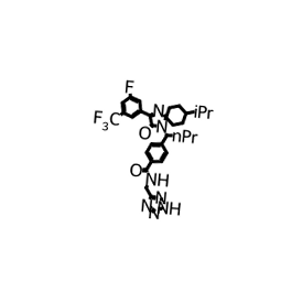 CCCC(c1ccc(C(=O)NCc2nn[nH]n2)cc1)N1C(=O)C(c2cc(F)cc(C(F)(F)F)c2)=NC12CCC(C(C)C)CC2